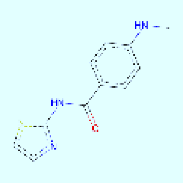 CNc1ccc(C(=O)Nc2nccs2)cc1